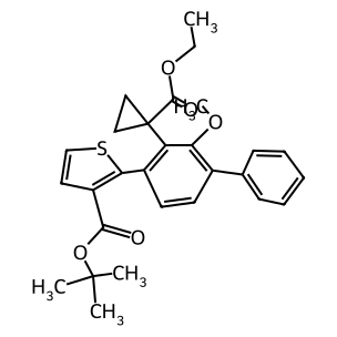 CCOC(=O)C1(c2c(-c3sccc3C(=O)OC(C)(C)C)ccc(-c3ccccc3)c2OC)CC1